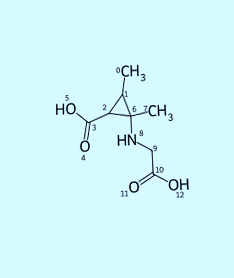 CC1C(C(=O)O)C1(C)NCC(=O)O